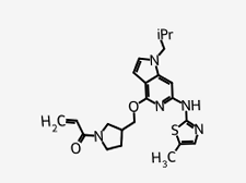 C=CC(=O)N1CCC(COc2nc(Nc3ncc(C)s3)cc3c2ccn3CC(C)C)C1